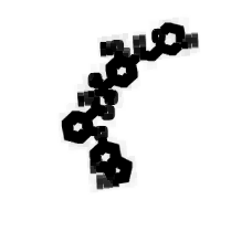 O=C(NS(=O)(=O)c1ccc(NCC2CNCCO2)c([N+](=O)[O-])c1)c1ccccc1Oc1cnc2[nH]ccc2c1